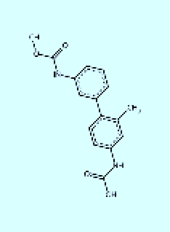 COC(=O)Nc1cccc(-c2ccc(NC(=O)O)cc2C)c1